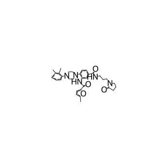 Cc1ccc(C(=O)Nc2cc(C(=O)NCCCN3CCCC3=O)ccc2N2CCN(c3cccc(C)c3C)CC2)o1